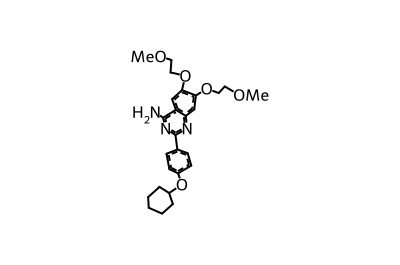 COCCOc1cc2nc(-c3ccc(OC4CCCCC4)cc3)nc(N)c2cc1OCCOC